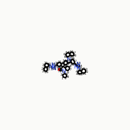 c1ccc(N2c3ccccc3C3(c4cc(-c5ncn(-c6cccc7ccccc67)n5)ccc4-c4cc5c(cc43)c3cc(-c4ncn(-c6cccc7ccccc67)n4)ccc3n5-c3cccc4ccccc34)c3ccccc32)cc1